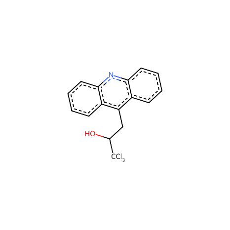 OC(Cc1c2ccccc2nc2ccccc12)C(Cl)(Cl)Cl